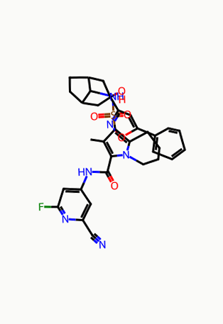 Cc1c(S(=O)(=O)NC2C3CCC2CC(O)(c2cc(-c4ccccc4)on2)C3)c2n(c1C(=O)Nc1cc(F)nc(C#N)c1)CCCC2